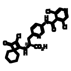 O=C(Nc1ccc(C[C@H](NC2=C(Cl)C(=O)C23CCCCC3)C(=O)O)nc1)c1c(Cl)cncc1Cl